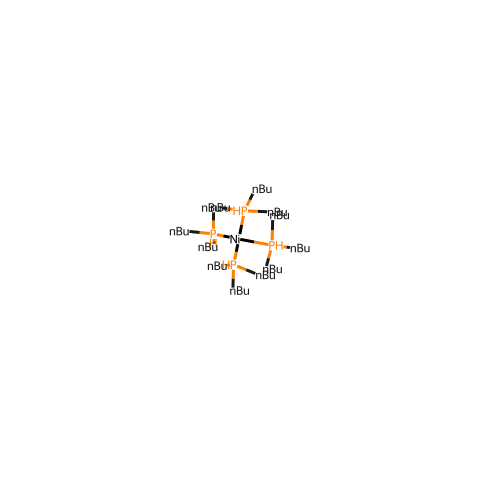 CCCC[PH](CCCC)(CCCC)[Ni]([PH](CCCC)(CCCC)CCCC)([PH](CCCC)(CCCC)CCCC)[PH](CCCC)(CCCC)CCCC